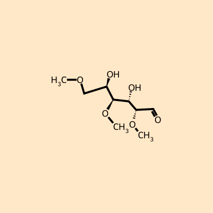 COC[C@@H](O)[C@H](OC)[C@H](O)[C@H](C=O)OC